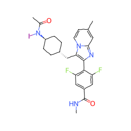 CNC(=O)c1cc(F)c(-c2nc3cc(C)ccn3c2C[C@H]2CC[C@H](N(I)C(C)=O)CC2)c(F)c1